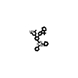 CC1CC(C2=CC=C(C3=NC(C4C=CC=CC4)NC(c4ccccc4)=N3)CC2C2C=C3C(=CC2)C2=C(CCC=C2)C3(C)C)CC(C)N1